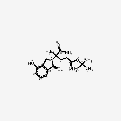 BC(CCC(=O)OC(C)(C)C)(C(N)=O)N1Cc2c(O)cccc2C1=O